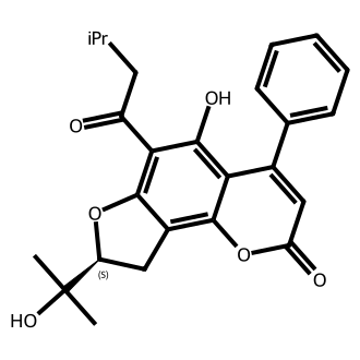 CC(C)CC(=O)c1c2c(c3oc(=O)cc(-c4ccccc4)c3c1O)C[C@@H](C(C)(C)O)O2